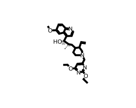 C=CC1CN(Cc2cc(OCC)nc(OCC)n2)CCC1C[C@H](C)[C@H](O)c1ccnc2ccc(OC)cc12